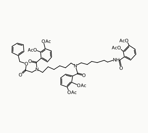 CC(=O)Oc1cccc(C(=O)NCCCCCCN(CCCCCCN(CC(=O)OCc2ccccc2)C(=O)c2cccc(OC(C)=O)c2OC(C)=O)C(=O)c2cccc(OC(C)=O)c2OC(C)=O)c1OC(C)=O